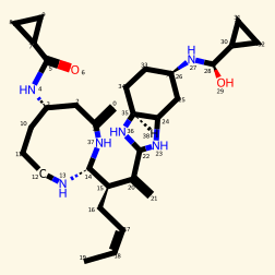 C=C1C[C@@H](NC(=O)C2CC2)CCCN[C@@H]([C@H](C/C=C\C)C(=C)C2NC3C[C@H](N[C@H](O)C4CC4)CC[C@@H]3N2)N1